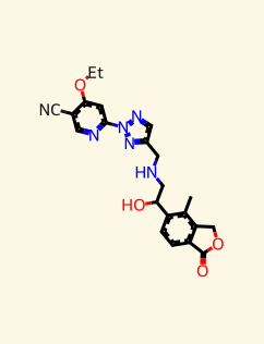 CCOc1cc(-n2ncc(CNCC(O)c3ccc4c(c3C)COC4=O)n2)ncc1C#N